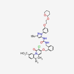 Cc1ccc(C(=O)O)cc1-n1c(C)cc(OCc2ccccc2CNC(=O)Nc2cc(C(C)(C)C)nn2-c2cccc(OCCOC3CCCCO3)c2)c(Cl)c1=O